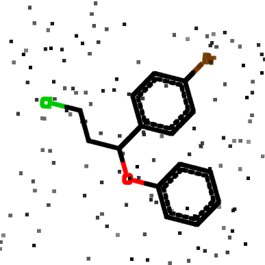 ClCCC(Oc1ccccc1)c1ccc(Br)cc1